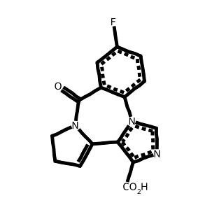 O=C(O)c1ncn2c1C1=CCCN1C(=O)c1cc(F)ccc1-2